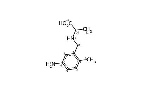 Cc1ccc(N)cc1CNC(C)C(=O)O